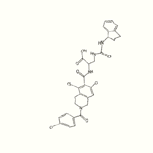 O=C(NCC(NC(=O)c1c(Cl)cc2c(c1Cl)CCN(C(=O)c1ccc(Cl)cc1)C2)C(=O)O)NC1CCc2ccccc21